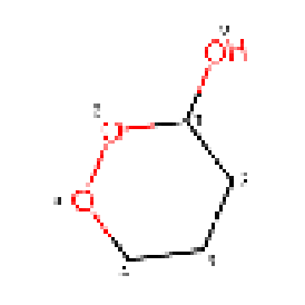 OC1CCCOO1